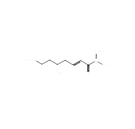 CCCCN(C)C(=O)C=CC[C@H](O)CCC(=O)O